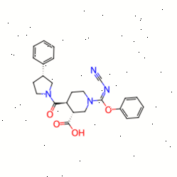 N#CN=C(Oc1ccccc1)N1CC[C@H](C(=O)N2CC[C@H](c3ccccc3)C2)[C@@H](C(=O)O)C1